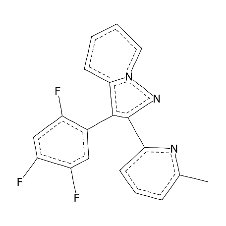 Cc1cccc(-c2nn3ccccc3c2-c2cc(F)c(F)cc2F)n1